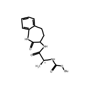 C[C@H](NC(=O)OC(C)(C)C)C(=O)NC1CCc2ccccc2NC1=O